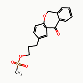 CS(=O)(=O)OCCCc1ccc2c(c1)C(=O)c1ccccc1CO2